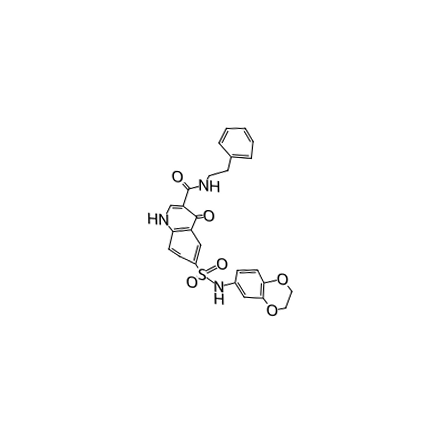 O=C(NCCc1ccccc1)c1c[nH]c2ccc(S(=O)(=O)Nc3ccc4c(c3)OCCO4)cc2c1=O